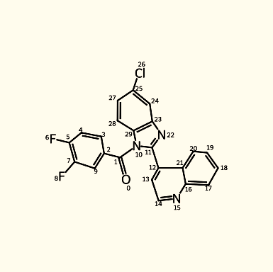 O=C(c1ccc(F)c(F)c1)n1c(-c2ccnc3ccccc23)nc2cc(Cl)ccc21